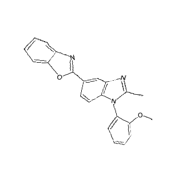 COc1ccccc1-n1c(C)nc2cc(-c3nc4ccccc4o3)ccc21